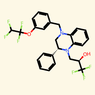 O[C@H](CN1c2ccccc2N(Cc2cccc(OC(F)(F)C(F)F)c2)C[C@H]1c1ccccc1)C(F)(F)F